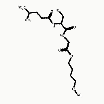 NC(CCC(=O)NC(CS)C(=O)NCC(=O)OCCCCO[N+](=O)[O-])C(=O)O